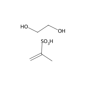 C=C(C)S(=O)(=O)O.OCCO